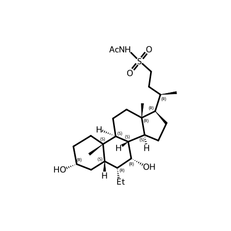 CC[C@H]1[C@@H](O)[C@@H]2[C@H](CC[C@]3(C)[C@@H]([C@H](C)CCS(=O)(=O)NC(C)=O)CC[C@@H]23)[C@@]2(C)CC[C@@H](O)C[C@@H]12